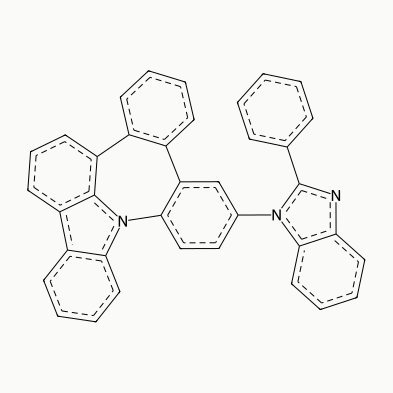 c1ccc(-c2nc3ccccc3n2-c2ccc3c(c2)-c2ccccc2-c2cccc4c5ccccc5n-3c24)cc1